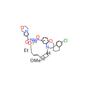 CC[C@H]1C/C=C/[C@H](OC)[C@@H]2CC[C@H]2CN2C[C@@]3(CCCc4cc(Cl)ccc43)COc3ccc(cc32)C(=O)N=[S@](=O)(NC(=O)c2cc3n(c2)CCOC3)C1